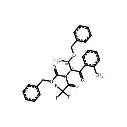 [CH2]c1ccccc1C(=O)[C@H]([C@@H](C)OCc1ccccc1)N(C(=O)OCc1ccccc1)C(=O)C(F)(F)F